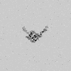 [Cl-].[Cl-].[Cl-].[Cl-].[Cl-].[Cl-].[OH][Pt][OH].[OH][Pt][OH].[OH][Pt][OH].[OH][Pt][OH].[OH][Pt][OH].[OH][Pt][OH]